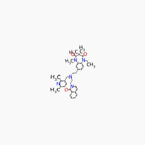 CCN1C(=O)C(C)(C)C(=O)N(C)c2cc(CCN(CCn3ccc4ccccc4c3=O)Cc3ccc(C)nc3C)ccc21